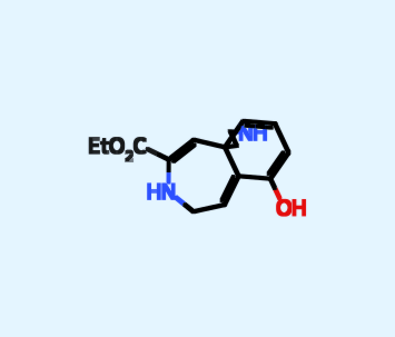 CCOC(=O)C1=CC23CCNC2=CC=C(O)C3=CCN1